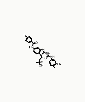 Cc1ccc(NC(=O)Nc2nc3cc(NC(=O)c4ccc(F)cc4)ccc3n2CCC(C)(C)O)cc1C#N